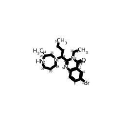 CCCC(c1nc2ccc(Br)cc2c(=O)n1CC)N1CCCN[C@H](C)C1